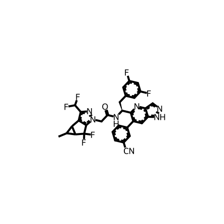 CC1C2c3c(C(F)F)nn(CC(=O)N[C@@H](Cc4cc(F)cc(F)c4)c4nc5cn[nH]c5cc4-c4cccc(C#N)c4)c3C(F)(F)C12